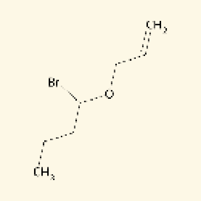 C=CCOC(Br)CCC